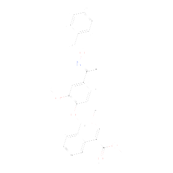 CO/C=C(/C(=O)OC)c1ccccc1COc1ccc(/C(C)=N/OCc2ccccc2)cc1OC